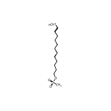 CCCCCCCCC=CCCCCCCCCCCOS(C)(=O)=O